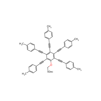 CCCCCCCCCCCOc1c(C#Cc2ccc(C)cc2)c(C#Cc2ccc(C)cc2)c(C#Cc2ccc(C)cc2)c(C#Cc2ccc(C)cc2)c1C#Cc1ccc(C)cc1